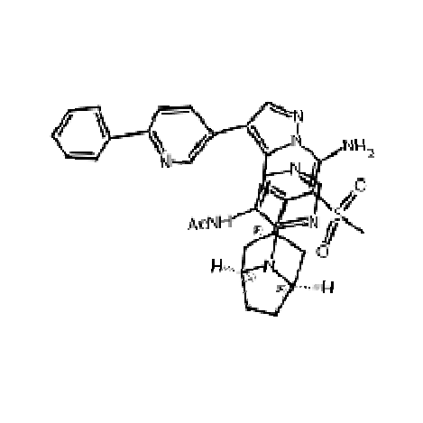 CC(=O)Nc1cncnc1N1[C@@H]2CC[C@H]1C[C@@H](c1nc3c(-c4ccc(-c5ccccc5)nc4)cnn3c(N)c1S(C)(=O)=O)C2